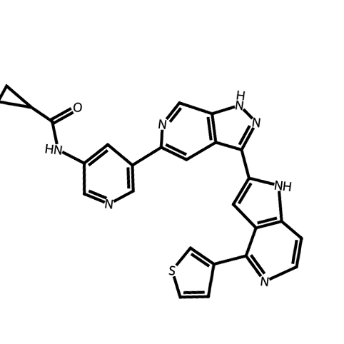 O=C(Nc1cncc(-c2cc3c(-c4cc5c(-c6ccsc6)nccc5[nH]4)n[nH]c3cn2)c1)C1CC1